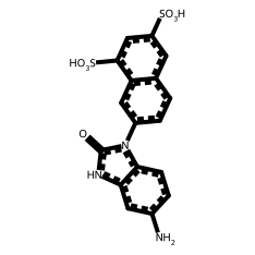 Nc1ccc2c(c1)[nH]c(=O)n2-c1ccc2cc(S(=O)(=O)O)cc(S(=O)(=O)O)c2c1